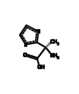 C[C@](N)(C(=O)O)c1nccs1